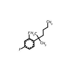 CCCCC(C)(C)c1ccc(F)cc1F